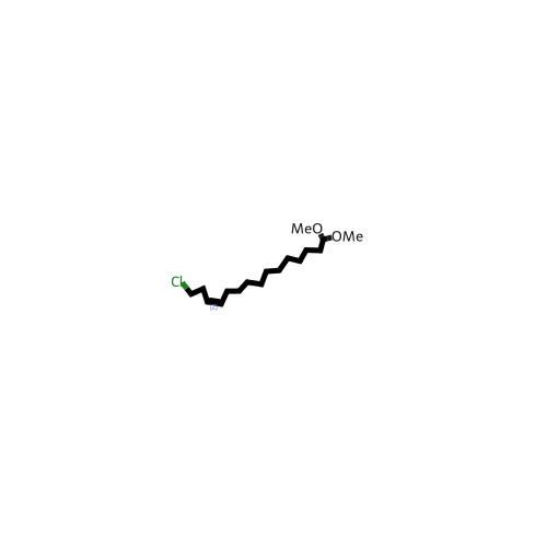 COC(CCCCCCCCCC/C=C\CCCl)OC